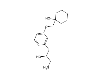 NC[C@@H](O)Cc1cccc(OCC2(O)CCCCC2)c1